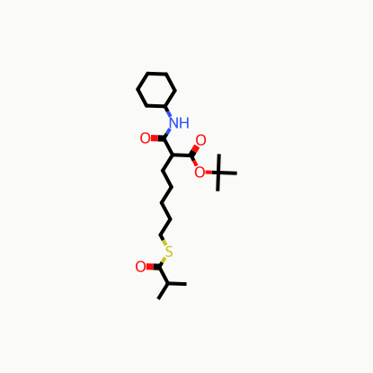 CC(C)C(=O)SCCCCCC(C(=O)NC1CCCCC1)C(=O)OC(C)(C)C